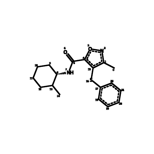 Cc1noc(C(=O)N[C@H]2CCCCC2C)c1Sc1ccccc1